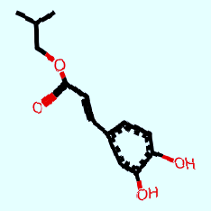 CC(C)COC(=O)C=Cc1ccc(O)c(O)c1